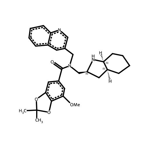 COc1cc(C(=O)N(Cc2cnc3ccccc3c2)C[C@@H]2C[C@@H]3CCCC[C@@H]3N2)cc2c1OC(C)(C)O2